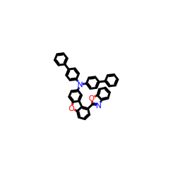 c1ccc(-c2ccc(N(c3ccc(-c4ccccc4)cc3)c3ccc4oc5cccc(-c6nc7ccccc7o6)c5c4c3)cc2)cc1